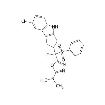 CN(C)c1nnc(C(F)(C2Cc3[nH]c4ccc(Cl)cc4c3C2)S(=O)(=O)c2ccccc2)o1